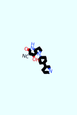 N#Cc1c(O)c2c(ccn2-c2ccc(-c3cccnc3)cc2)[nH]c1=O